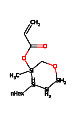 C=CC(=O)O[Si]1(C)CO[SiH2][SiH2][SiH]1CCCCCC